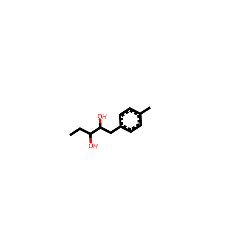 CCC(O)C(O)Cc1ccc(C)cc1